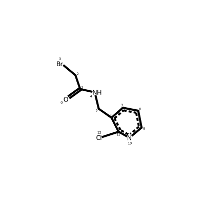 O=C(CBr)NCc1cccnc1Cl